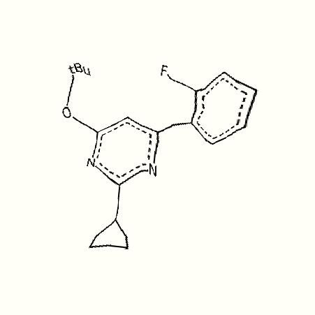 CC(C)(C)Oc1cc(-c2ccccc2F)nc(C2CC2)n1